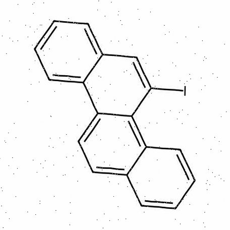 Ic1cc2ccccc2c2ccc3ccccc3c12